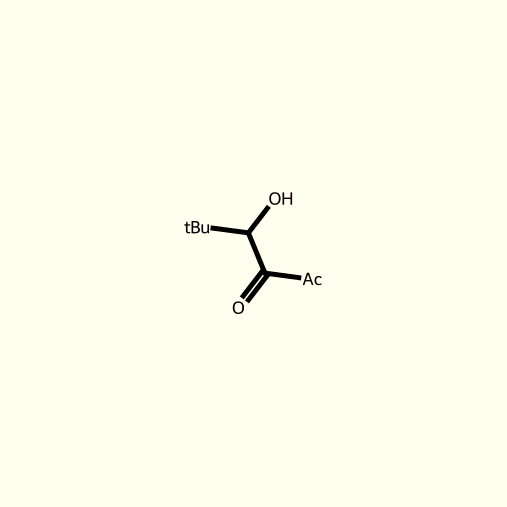 CC(=O)C(=O)C(O)C(C)(C)C